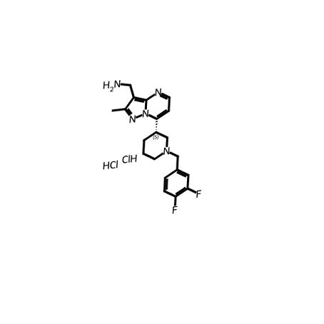 Cc1nn2c([C@H]3CCCN(Cc4ccc(F)c(F)c4)C3)ccnc2c1CN.Cl.Cl